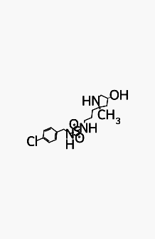 C[C@]1(CCCNS(=O)(=O)NCc2ccc(Cl)cc2)C[C@@H](O)CN1